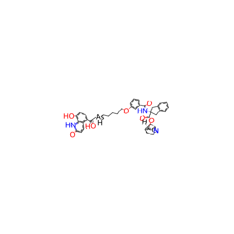 O=C(NC1(C(=O)O[C@H]2CN3CCC2CC3)Cc2ccccc2C1)c1cccc(OCCCCC[AsH]C[C@H](O)c2ccc(O)c3[nH]c(=O)ccc23)c1